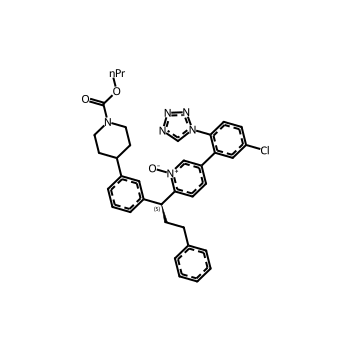 CCCOC(=O)N1CCC(c2cccc([C@H](CCc3ccccc3)c3ccc(-c4cc(Cl)ccc4-n4cnnn4)c[n+]3[O-])c2)CC1